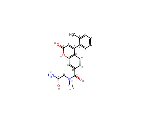 Cc1ccccc1-c1cc(=O)oc2cc(C(=O)N(C)CC(N)=O)ccc12